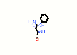 N=C(/C=C(/N)Nc1ccccc1)CO